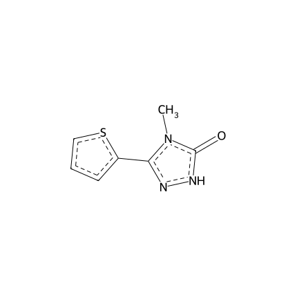 Cn1c(-c2cccs2)n[nH]c1=O